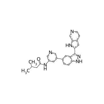 CC(C)CC(=O)Nc1cncc(-c2ccc3[nH]nc(-c4cc5ccncc5[nH]4)c3c2)c1